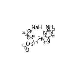 CC(=O)OCC(CCn1cnc2cnc(N)nc21)COC(C)=O.[NaH]